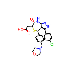 O=C(O)CC1SC(c2ccc(CN3CCOCC3)cc2)c2c(n[nH]c2-c2ccc(Cl)cc2)NC1=O